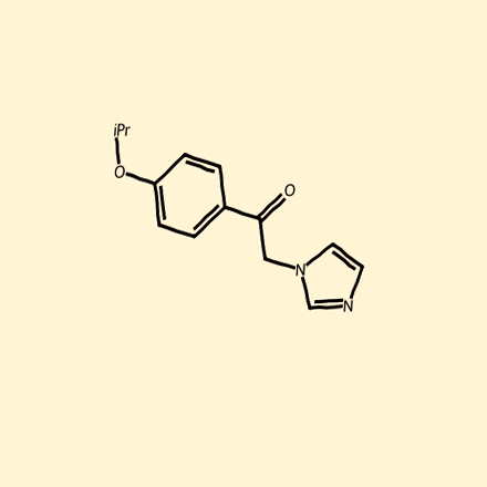 CC(C)Oc1ccc(C(=O)Cn2ccnc2)cc1